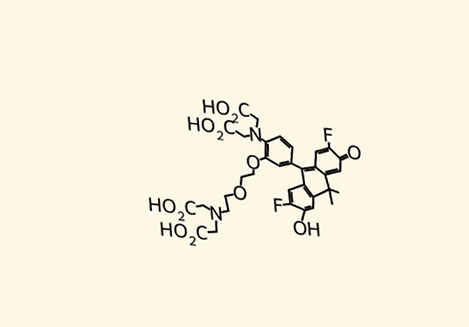 CC1(C)C2=CC(=O)C(F)=CC2=C(c2ccc(N(CC(=O)O)CC(=O)O)c(OCCOCCN(CC(=O)O)CC(=O)O)c2)c2cc(F)c(O)cc21